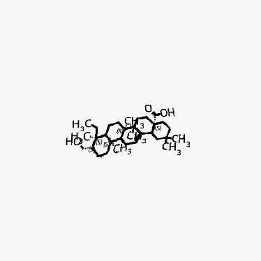 CC[C@@]1(C)C2CC[C@]3(C)C(CC=C4C5CC(C)(C)CC[C@]5(C(=O)O)CC[C@]43C)[C@@]2(C)CC[C@@H]1CO